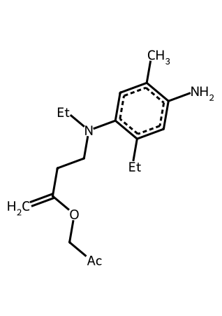 C=C(CCN(CC)c1cc(C)c(N)cc1CC)OCC(C)=O